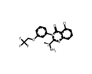 C[C@H](N)c1nc2cccc(Cl)c2c(=O)n1-c1cccc(OCC(F)(F)F)c1